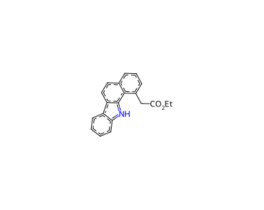 CCOC(=O)Cc1cccc2ccc3c4ccccc4[nH]c3c12